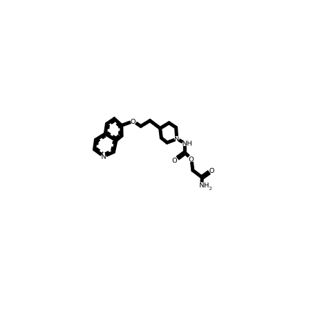 NC(=O)COC(=O)NN1CCC(CCOc2ccc3ccncc3c2)CC1